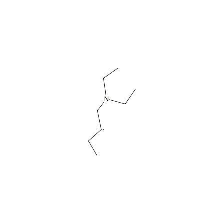 CC[CH]CN(CC)CC